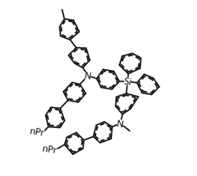 CCCc1ccc(-c2ccc(N(C)c3ccc([Si](c4ccccc4)(c4ccccc4)c4ccc(N(c5ccc(-c6ccc(C)cc6)cc5)c5ccc(-c6ccc(CCC)cc6)cc5)cc4)cc3)cc2)cc1